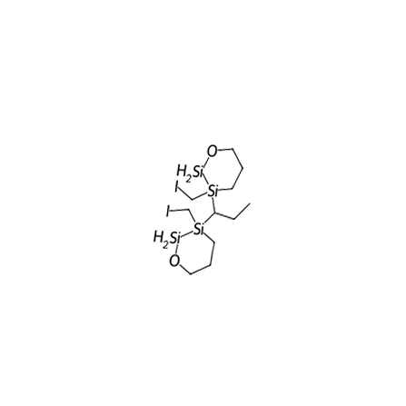 CCC([Si]1(CI)CCCO[SiH2]1)[Si]1(CI)CCCO[SiH2]1